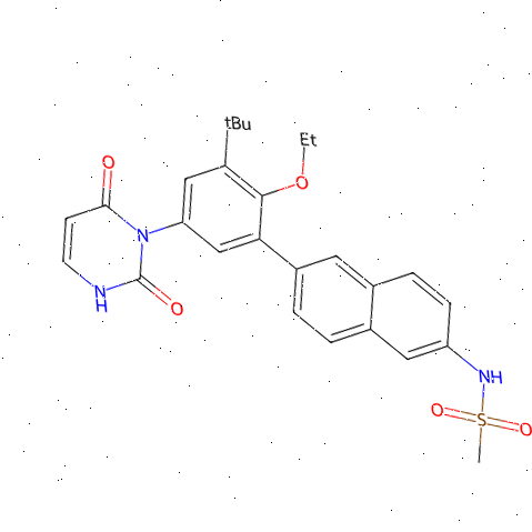 CCOc1c(-c2ccc3cc(NS(C)(=O)=O)ccc3c2)cc(-n2c(=O)cc[nH]c2=O)cc1C(C)(C)C